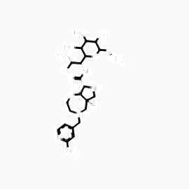 CSC1OC([C@H](NC(=O)[C@H]2NC[C@@H]3CN(Cc4ccnc(N)c4)CCO[C@H]32)[C@H](C)Cl)C(O)C(O)C1O